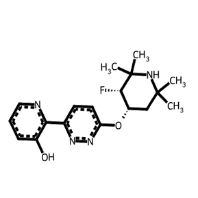 CC1(C)C[C@H](Oc2ccc(-c3ncccc3O)nn2)[C@H](F)C(C)(C)N1